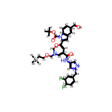 CC(C)(C)OC(=O)n1c(C2=CC(C(=O)Nc3cnn(CC4=CC(F)C(F)C=C4)c3)=CN(COCC[Si](C)(C)C)CO2)cc2cc(C=O)ccc21